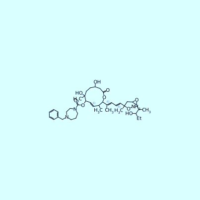 CCC(O)C(C)C1OC1CC(C)(/C=C/C=C(\C)C1OC(=O)CC(O)CCC(C)(O)C(OC(=O)N2CCCN(Cc3ccccc3)CC2)/C=C/C1C)ON